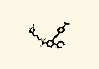 C=C(C)c1ccc(C#Cc2cc(C(=O)NCCCc3cn[nH]c3)ccc2C(/C=C\C)=C/C)cc1